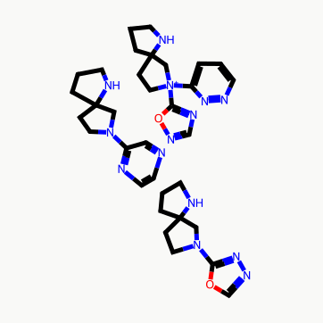 c1cnc(N2CCC3(CCCN3)C2)cn1.c1cnnc([N+]2(c3ncno3)CCC3(CCCN3)C2)c1.c1nnc(N2CCC3(CCCN3)C2)o1